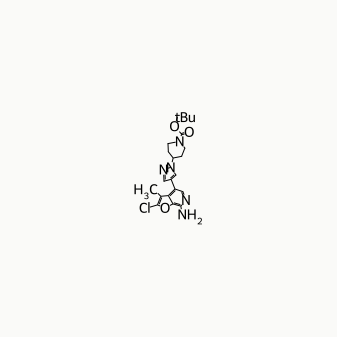 Cc1c(Cl)oc2c(N)ncc(-c3cnn(C4CCN(C(=O)OC(C)(C)C)CC4)c3)c12